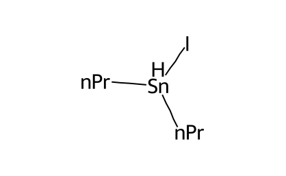 CC[CH2][SnH]([I])[CH2]CC